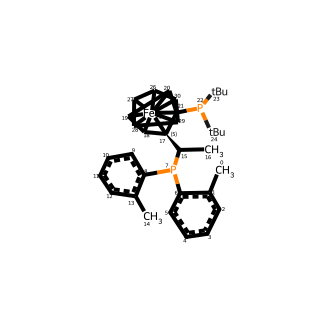 Cc1ccccc1P(c1ccccc1C)C(C)[C@]12[CH]3[CH]4[CH]5[C]1(P(C(C)(C)C)C(C)(C)C)[Fe]45321678[CH]2[CH]1[CH]6[CH]7[CH]28